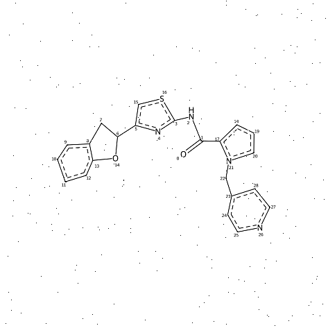 O=C(Nc1nc(C2Cc3ccccc3O2)cs1)c1cccn1Cc1ccncc1